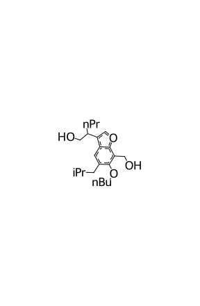 CCCCOc1c(CC(C)C)cc2c(C(CO)CCC)coc2c1CO